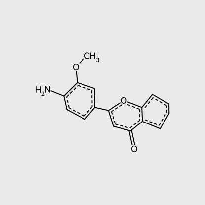 COc1cc(-c2cc(=O)c3ccccc3o2)ccc1N